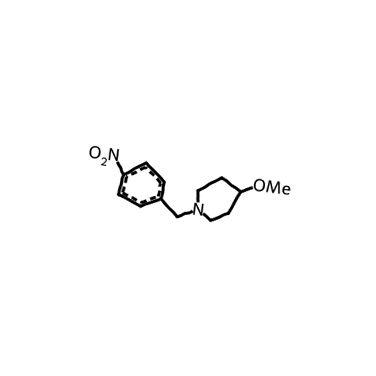 COC1CCN(Cc2ccc([N+](=O)[O-])cc2)CC1